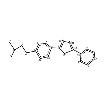 CC(C)CCc1ccc(C2=NN=C(c3ccccc3)C2)cc1